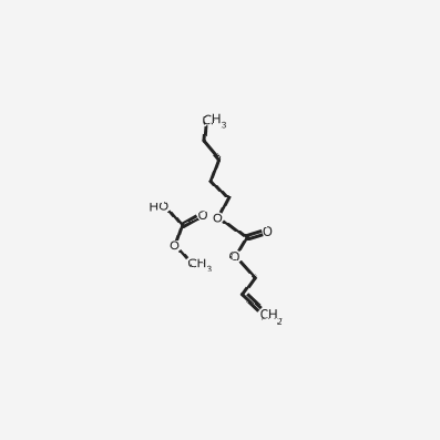 C=CCOC(=O)OCCCCC.COC(=O)O